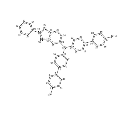 Fc1ccc(-c2ccc(N(c3ccc(-c4ccc(F)cc4)cc3)c3ccc4nn(-c5ccccc5)nc4c3)cc2)cc1